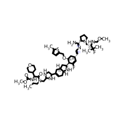 CCCN(CC1NCC(C2=CC[C@@H]3N[C@H](C4C(F)=C[C@@H](/C=C/N=C(\N)[C@@H]5CCCN5C[C@H](NCOC)C(C)(C)F)C[C@H]4OCc4ccc(C)s4)C[C@@H]3C2)N1)C(=O)[C@@H](NC(=O)OC)C1CCOCC1